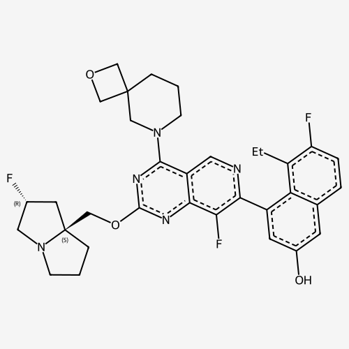 CCc1c(F)ccc2cc(O)cc(-c3ncc4c(N5CCCC6(COC6)C5)nc(OC[C@@]56CCCN5C[C@H](F)C6)nc4c3F)c12